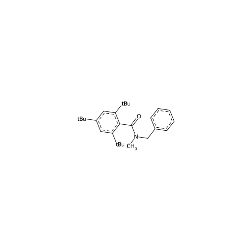 CN(Cc1ccccc1)C(=O)c1c(C(C)(C)C)cc(C(C)(C)C)cc1C(C)(C)C